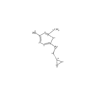 CC1=CC(O)=CC=C(OCC2CO2)C1